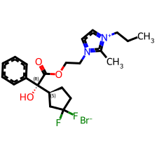 CCC[n+]1ccn(CCOC(=O)[C@](O)(c2ccccc2)[C@H]2CCC(F)(F)C2)c1C.[Br-]